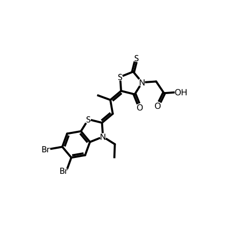 CCN1/C(=C/C(C)=C2/SC(=S)N(CC(=O)O)C2=O)Sc2cc(Br)c(Br)cc21